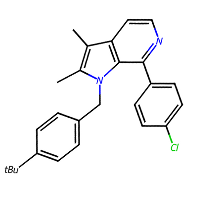 Cc1c(C)n(Cc2ccc(C(C)(C)C)cc2)c2c(-c3ccc(Cl)cc3)nccc12